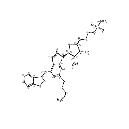 CCCSc1nc(NC2CCc3ccccc32)c2nnn([C@H]3C[C@@H](OCCOS(N)(=O)=O)[C@H](O)[C@@H]3O)c2n1